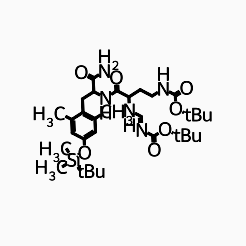 Cc1cc(O[Si](C)(C)C(C)(C)C)cc(C)c1CC(NC(=O)C(CCNC(=O)OC(C)(C)C)NC=NC(=O)OC(C)(C)C)C(N)=O